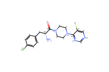 N[C@H](Cc1ccc(Cl)cc1)C(=O)N1CCN(c2ncncc2F)CC1